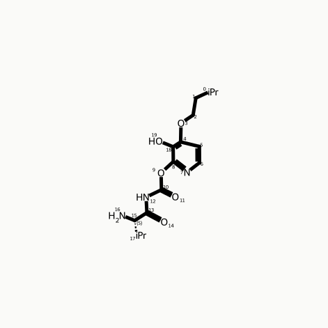 CC(C)CCOc1ccnc(OC(=O)NC(=O)[C@@H](N)C(C)C)c1O